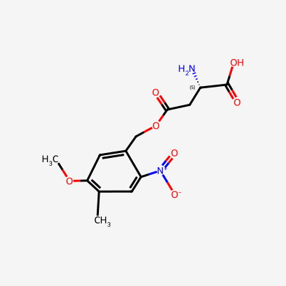 COc1cc(COC(=O)C[C@H](N)C(=O)O)c([N+](=O)[O-])cc1C